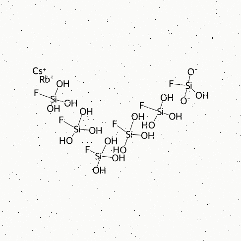 O[Si](O)(O)F.O[Si](O)(O)F.O[Si](O)(O)F.O[Si](O)(O)F.O[Si](O)(O)F.[Cs+].[O-][Si]([O-])(O)F.[Rb+]